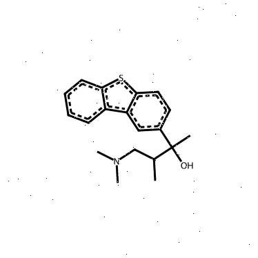 CC(CN(C)C)C(C)(O)c1ccc2sc3ccccc3c2c1